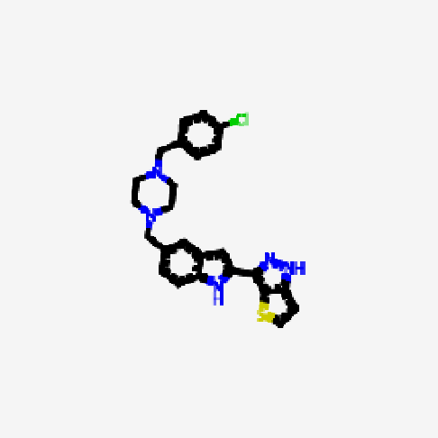 Clc1ccc(CN2CCN(Cc3ccc4[nH]c(-c5n[nH]c6ccsc56)cc4c3)CC2)cc1